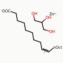 CCCCCCCC/C=C\CCCCCCCC(=O)[O-].OCC(O)CO.[Zn+]